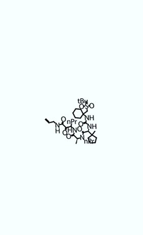 C=CCNC(=O)C(=O)C(CCC)NC(=O)[C@H](C)N(CCC)C(=O)[C@@H](NC(=O)NC1(CS(=O)(=O)C(C)(C)C)CCCCC1)C1(C)CCCC1